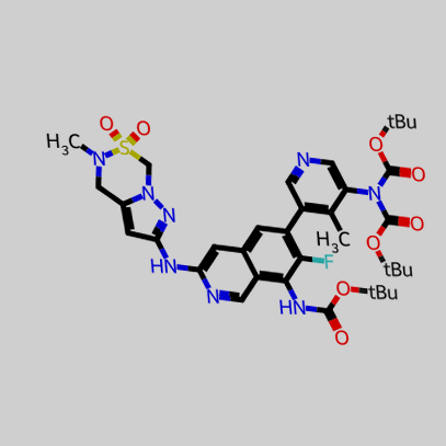 Cc1c(-c2cc3cc(Nc4cc5n(n4)CS(=O)(=O)N(C)C5)ncc3c(NC(=O)OC(C)(C)C)c2F)cncc1N(C(=O)OC(C)(C)C)C(=O)OC(C)(C)C